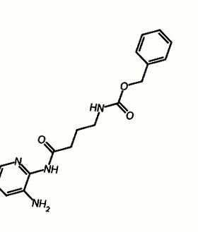 Nc1cccnc1NC(=O)CCCNC(=O)OCc1ccccc1